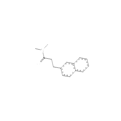 CN(C)C(=O)CCc1ccc2ccccc2c1